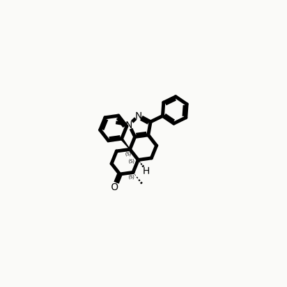 C[C@@H]1C(=O)CC[C@]2(c3ccccc3)c3c(c(-c4ccccc4)nn3C)CC[C@@H]12